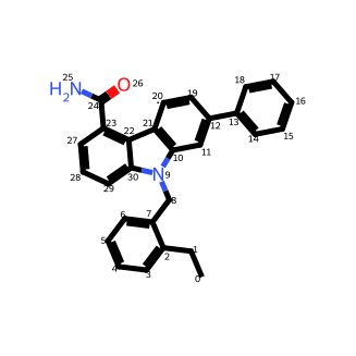 CCc1ccccc1Cn1c2cc(-c3ccccc3)c[c]c2c2c(C(N)=O)cccc21